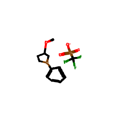 COC1CC[S+](c2ccccc2)C1.O=S(=O)([O-])C(F)(F)F